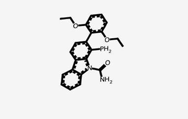 CCOc1cccc(OCC)c1-c1ccc2c3ccccc3n(C(N)=O)c2c1P